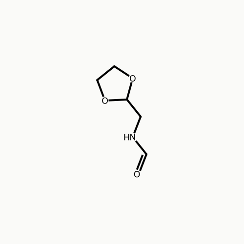 O=CNCC1OCCO1